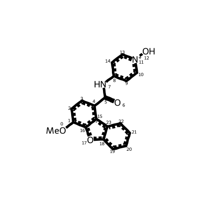 COc1ccc(C(=O)Nc2cc[n+](O)cc2)c2c1oc1ccccc12